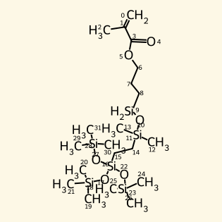 C=C(C)C(=O)OCCC[SiH2]O[Si](C)(C)CC[Si](O[Si](C)(C)C)(O[Si](C)(C)C)O[Si](C)(C)C